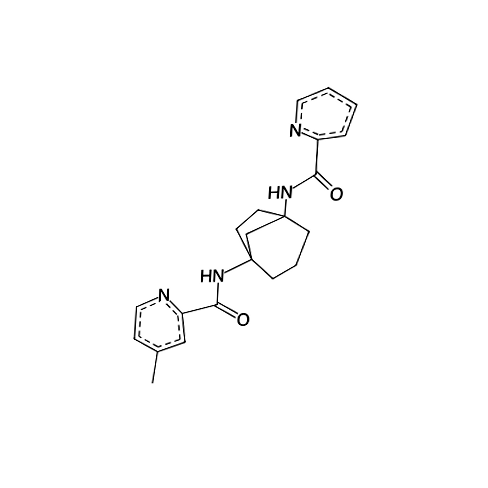 Cc1ccnc(C(=O)NC23CCCC(NC(=O)c4ccccn4)(CC2)C3)c1